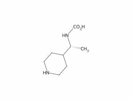 C[C@@H](NC(=O)O)C1CCNCC1